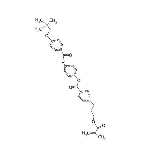 C=C(C)C(=O)OCCCc1ccc(C(=O)Oc2ccc(OC(=O)c3ccc(OCC(C)(C)C)cc3)cc2)cc1